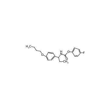 CCCCOc1ccc(C(CC)NC(=O)Oc2ccc(F)cc2)cc1